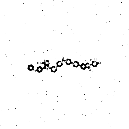 Nc1ncnc2c1c(-c1ccc(Oc3ccccc3)cc1)nn2C1CCCN(C2CCN(C(=O)N3CCC(N4CCC(c5ccc6c(c5)CN(C5CCC(=O)NC5=O)C6=O)CC4)CC3)CC2)C1